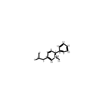 CC(C)Cc1ccc(-c2ccccc2)[n+](C)c1